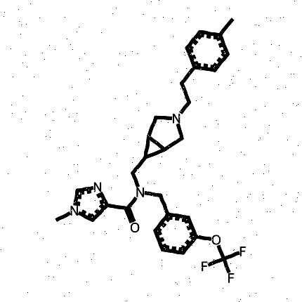 Cc1ccc(CCN2CC3C(C2)C3CN(Cc2cccc(OC(F)(F)F)c2)C(=O)c2cn(C)cn2)cc1